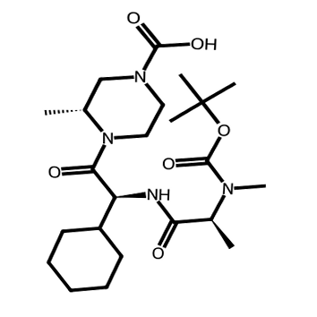 C[C@@H]1CN(C(=O)O)CCN1C(=O)[C@@H](NC(=O)[C@H](C)N(C)C(=O)OC(C)(C)C)C1CCCCC1